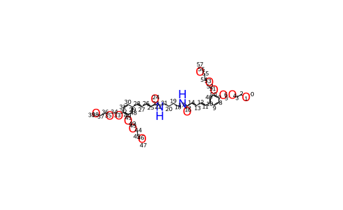 COCCOCOc1ccc(C=CC=CC(=O)NCCCCNC(=O)C=CC=Cc2ccc(OCOCCOC)c(OCOCCOC)c2)cc1OCOCCOC